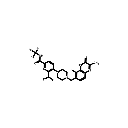 [2H]C([2H])([2H])NC(=O)c1ccc(N2CCN(Cc3ccc4nc(C)c(=O)[nH]c4c3F)CC2)c(C(F)F)n1